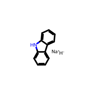 [H-].[Na+].c1ccc2c(c1)[nH]c1ccccc12